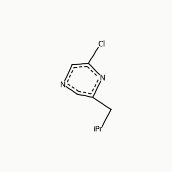 CC(C)Cc1cncc(Cl)n1